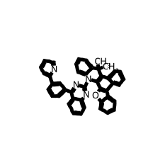 CC1(C)c2ccccc2N(c2nc(-c3cccc(-c4ccccn4)c3)c3ccccc3n2)c2c1c1ccccc1c1c2oc2ccccc21